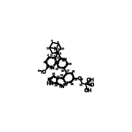 COc1ccc(CN2C3CC2CN(c2ccc(-c4cc(OCP(=O)(O)O)cn5nc6[nH]ncc6c45)cn2)C3)cn1